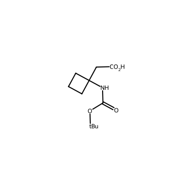 CC(C)(C)OC(=O)NC1(CC(=O)O)CCC1